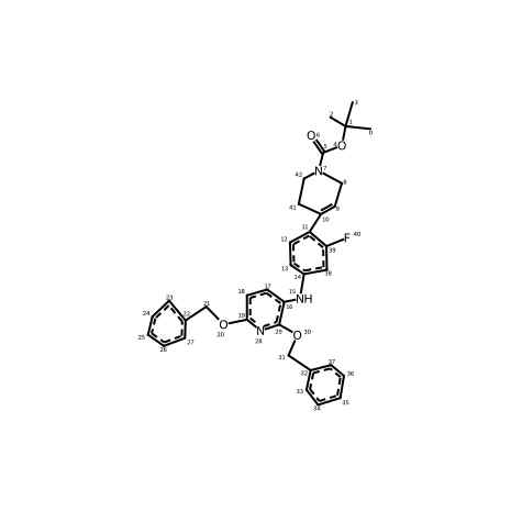 CC(C)(C)OC(=O)N1CC=C(c2ccc(Nc3ccc(OCc4ccccc4)nc3OCc3ccccc3)cc2F)CC1